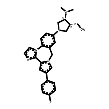 CN(C)[C@@H]1CN(c2ccc3c(c2)Cn2cc(-c4ccc(F)cc4)cc2-c2nccn2-3)C[C@H]1CO